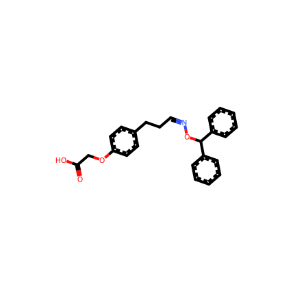 O=C(O)COc1ccc(CC/C=N\OC(c2ccccc2)c2ccccc2)cc1